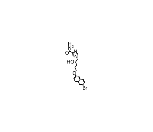 NC(=O)c1cn(C[C@@H](O)CCCOc2ccc3cc(Br)ccc3c2)cn1